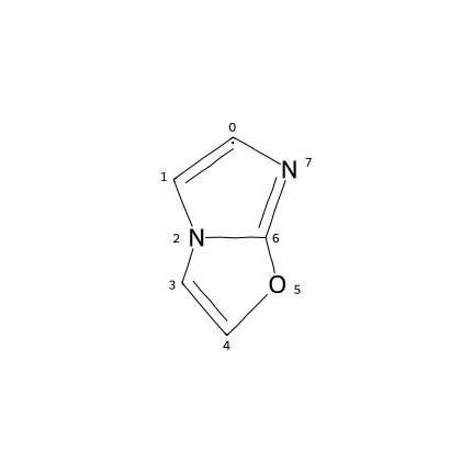 [c]1cn2ccoc2n1